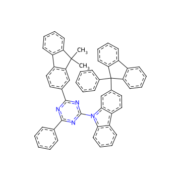 CC1(C)c2ccccc2-c2ccc(-c3nc(-c4ccccc4)nc(-n4c5ccccc5c5ccc(C6(c7ccccc7)c7ccccc7-c7ccccc76)cc54)n3)cc21